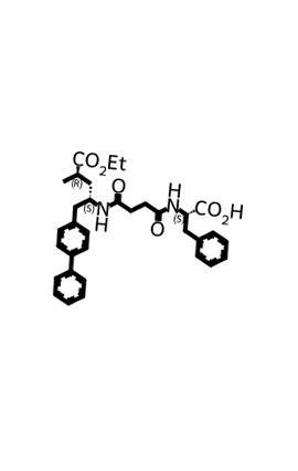 CCOC(=O)[C@H](C)C[C@@H](Cc1ccc(-c2ccccc2)cc1)NC(=O)CCC(=O)N[C@@H](Cc1ccccc1)C(=O)O